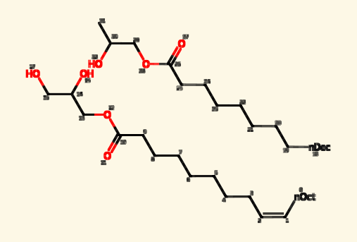 CCCCCCCC/C=C\CCCCCCCC(=O)OCC(O)CO.CCCCCCCCCCCCCCCCCC(=O)OCC(C)O